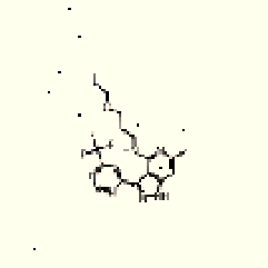 Cc1cc2[nH]nc(-c3cc(C(F)(F)F)ncn3)c2c(NCCCOCCI)n1